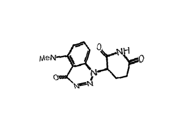 CNc1cccc2c1c(=O)nnn2C1CCC(=O)NC1=O